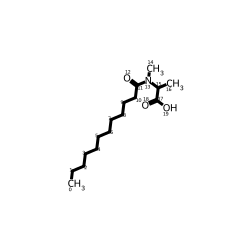 CCCCCCCCCCCC(=O)N(C)C(C)C(=O)O